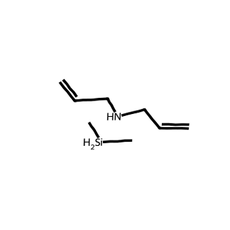 C=CCNCC=C.C[SiH2]C